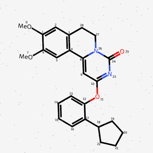 COc1cc2c(cc1OC)-c1cc(Oc3ccccc3C3CCCC3)nc(=O)n1CC2